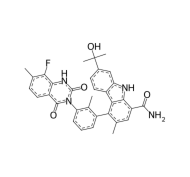 Cc1ccc2c(=O)n(-c3cccc(-c4c(C)cc(C(N)=O)c5[nH]c6cc(C(C)(C)O)ccc6c45)c3C)c(=O)[nH]c2c1F